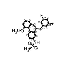 COc1cccc2c1-c1ccc(NS(C)(=O)=O)cc1C(Cc1cc(F)cc(F)c1)O2